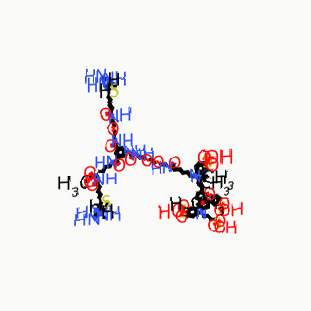 COC(=O)[C@H](CCCCNC(=O)c1cc(NC(=O)NCCOCCOCCNC(=O)CCCCC[N+]2=C(/C=C/C3=C(Oc4ccc(S(=O)(=O)O)cc4)C(=C/C=C4/N(CCCCS(=O)(=O)O)c5ccc(S(=O)(=O)O)cc5C4(C)C)/CCC3)C(C)(C)c3cc(S(=O)(=O)O)ccc32)cc(C(=O)NCCOCCNC(=O)CCCC[C@@H]2SC[C@@H]3NC(=N)N[C@@H]32)c1)NC(=O)CCCC[C@@H]1SC[C@@H]2NC(=N)N[C@@H]21